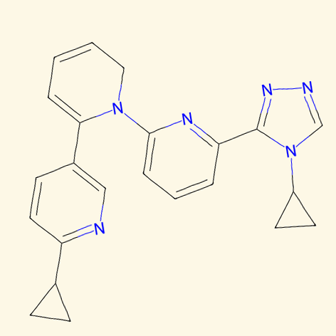 C1=CCN(c2cccc(-c3nncn3C3CC3)n2)C(c2ccc(C3CC3)nc2)=C1